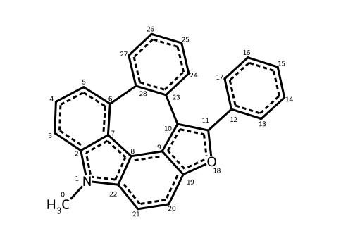 Cn1c2cccc3c2c2c4c(c(-c5ccccc5)oc4ccc21)-c1ccccc1-3